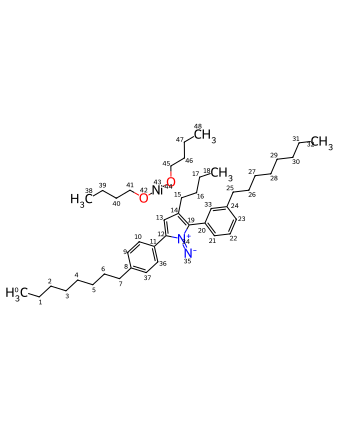 CCCCCCCCc1ccc(C2=CC(CCCC)=C(c3cccc(CCCCCCCC)c3)[N+]2=[N-])cc1.CCCC[O][Ni][O]CCCC